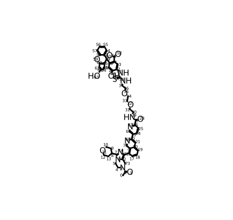 CC(=O)N1CCn2c(C3CCOCC3)nc(-c3cccc4cc(-c5ccc(C(=O)NCCOCCOCCNC(=S)Nc6cc7c(cc6O)C6(OC7=O)c7ccccc7Oc7cc(O)ccc76)nc5)ncc34)c2C1